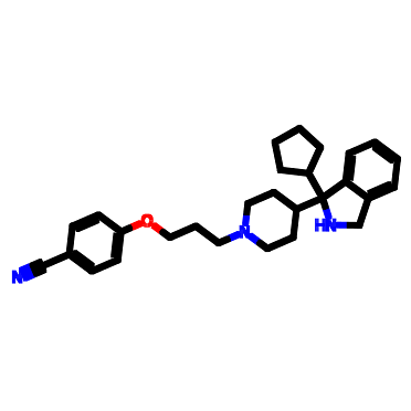 N#Cc1ccc(OCCCN2CCC(C3(C4CCCC4)NCc4ccccc43)CC2)cc1